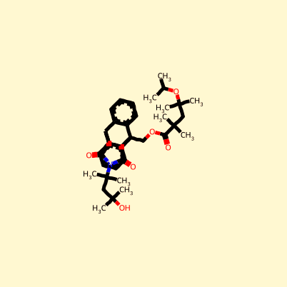 CC(C)OC(C)(C)CC(C)(C)C(=O)OCC12c3ccccc3C(c3ccccc31)C1C(=O)N(C(C)(C)CC(C)(C)O)C(=O)C12